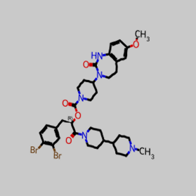 COc1ccc2c(c1)CCN(C1CCN(C(=O)O[C@H](Cc3ccc(Br)c(Br)c3)C(=O)N3CCC(C4CCN(C)CC4)CC3)CC1)C(=O)N2